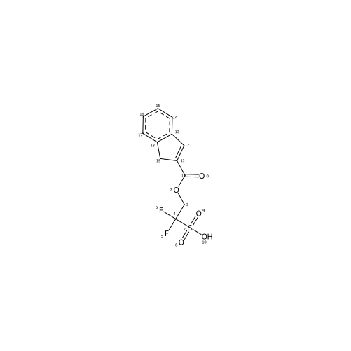 O=C(OCC(F)(F)S(=O)(=O)O)C1=Cc2ccccc2C1